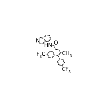 CC(/C=C/C(=O)Nc1cccc2cnccc12)=C(c1ccc(C(F)(F)F)cc1)c1ccc(C(F)(F)F)cc1